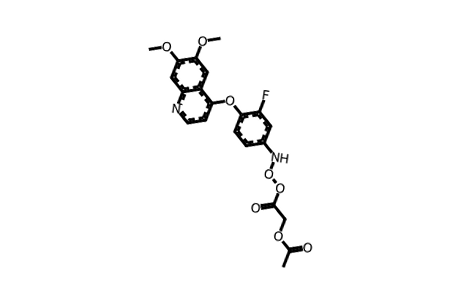 COc1cc2nccc(Oc3ccc(NOOC(=O)COC(C)=O)cc3F)c2cc1OC